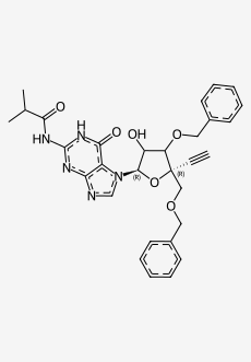 C#C[C@]1(COCc2ccccc2)O[C@@H](n2cnc3nc(NC(=O)C(C)C)[nH]c(=O)c32)C(O)C1OCc1ccccc1